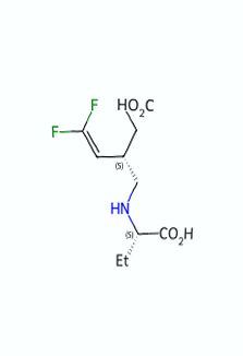 CC[C@H](NC[C@H](C=C(F)F)CC(=O)O)C(=O)O